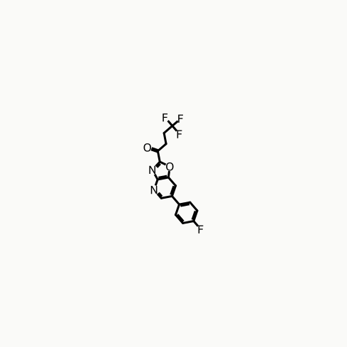 O=C(CCC(F)(F)F)c1nc2ncc(-c3ccc(F)cc3)cc2o1